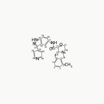 Cc1cccc(F)c1CN1CCOC(C(=O)Nc2ccc3[nH]nc(-c4ccncc4)c3c2)C1